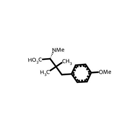 CN[C@@H](C(=O)O)C(C)(C)Cc1ccc(OC)cc1